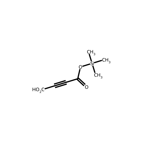 C[Si](C)(C)OC(=O)C#CC(=O)O